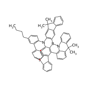 CCCCc1ccc(N2c3cc4c(cc3B3c5c2cc2sc6ccccc6c2c5-c2cccc5c2N3c2ccccc2C5(C)C)-c2ccccc2C4(C)C)c(-c2ccccc2)c1